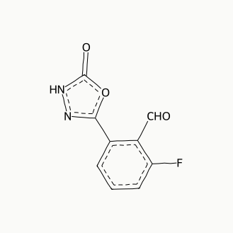 O=Cc1c(F)cccc1-c1n[nH]c(=O)o1